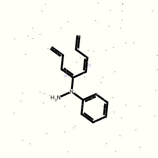 C=C/C=C\C(=C/C=C)N(N)c1ccccc1